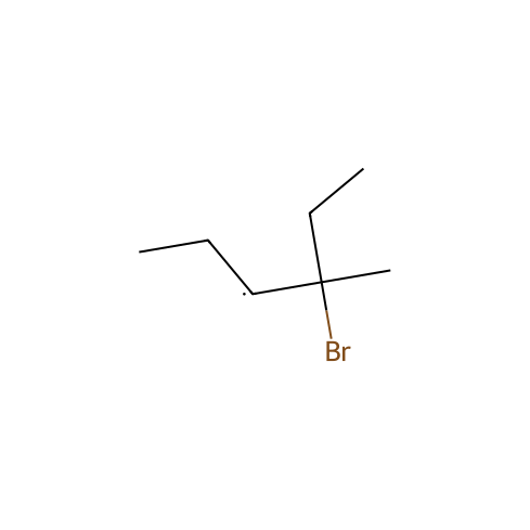 CC[CH]C(C)(Br)CC